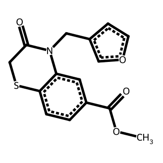 COC(=O)c1ccc2c(c1)N(Cc1ccoc1)C(=O)CS2